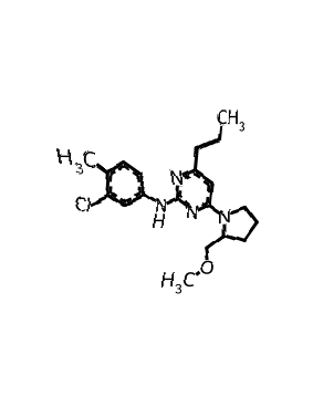 CCCc1cc(N2CCCC2COC)nc(Nc2ccc(C)c(Cl)c2)n1